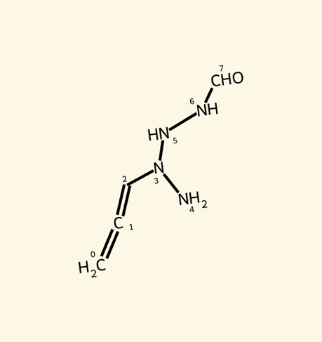 C=C=CN(N)NNC=O